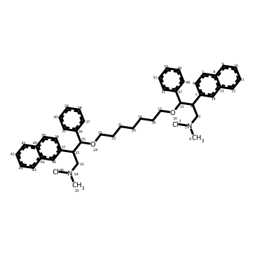 CN(Cl)CC(c1ccc2ccccc2c1)C(OCCCCCCCOC(c1ccccc1)C(CN(C)Cl)c1ccc2ccccc2c1)c1ccccc1